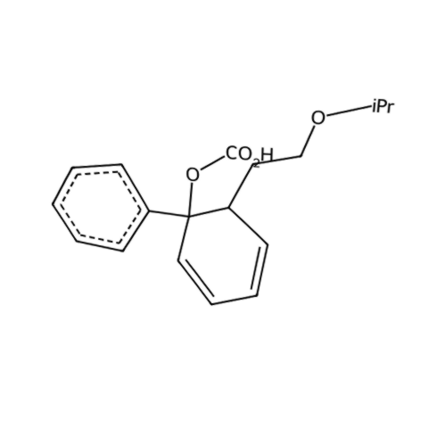 CC(C)OCCC1C=CC=CC1(OC(=O)O)c1ccccc1